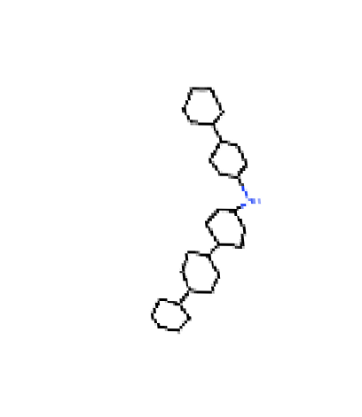 C1CCC(C2CCC(NC3CCC(C4CCC(C5CCCCC5)CC4)CC3)CC2)CC1